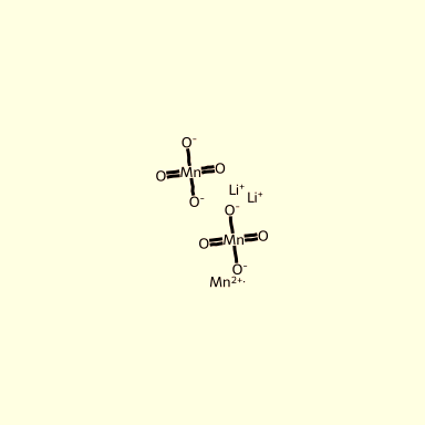 [Li+].[Li+].[Mn+2].[O]=[Mn](=[O])([O-])[O-].[O]=[Mn](=[O])([O-])[O-]